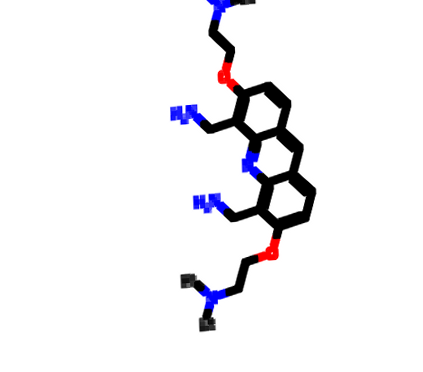 CCN(CC)CCOc1ccc2cc3ccc(OCCN(CC)CC)c(CN)c3nc2c1CN